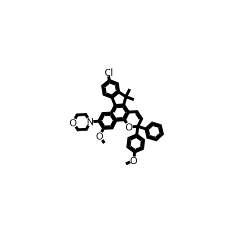 COc1ccc(C2(c3ccccc3)C=Cc3c4c(c5cc(N6CCOCC6)c(OC)cc5c3O2)-c2ccc(Cl)cc2C4(C)C)cc1